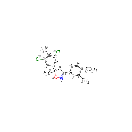 Cc1cc(C2=NOC(c3cc(Cl)c(C(F)(F)F)c(Cl)c3)(C(F)(F)F)C2)ccc1C(=O)O